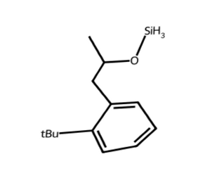 CC(Cc1ccccc1C(C)(C)C)O[SiH3]